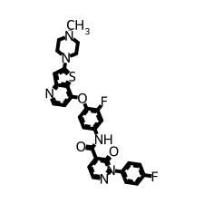 CN1CCN(c2cc3nccc(Oc4ccc(NC(=O)c5ccnn(-c6ccc(F)cc6)c5=O)cc4F)c3s2)CC1